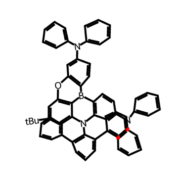 CC(C)(C)c1cc2c3c(c1)N(c1c(-c4ccccc4)cccc1-c1ccccc1)c1cc(N(c4ccccc4)c4ccccc4)ccc1B3c1ccc(N(c3ccccc3)c3ccccc3)cc1O2